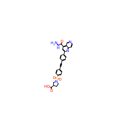 NNC(=O)c1cc(-c2ccc(C#Cc3ccc(S(=O)(=O)N4CCC(C(=O)O)C4)cc3)cc2)nc2ccncc12